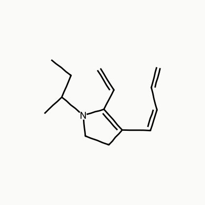 C=C/C=C\C1=C(C=C)N(C(C)CC)CC1